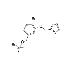 CC(C)(C)[Si](C)(C)OCc1ccc(Br)c(OCc2cscn2)c1